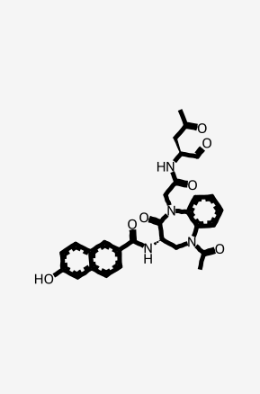 CC(=O)C[C@@H](C=O)NC(=O)CN1C(=O)[C@@H](NC(=O)c2ccc3cc(O)ccc3c2)CN(C(C)=O)c2ccccc21